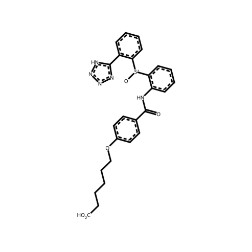 O=C(O)CCCCCOc1ccc(C(=O)Nc2ccccc2[S+]([O-])c2ccccc2-c2nnn[nH]2)cc1